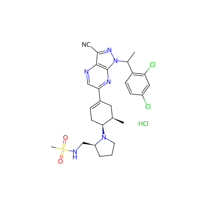 CC(c1ccc(Cl)cc1Cl)n1nc(C#N)c2ncc(C3=CC[C@H](N4CCC[C@H]4CNS(C)(=O)=O)[C@H](C)C3)nc21.Cl